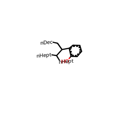 CCCCCCCCCCCC(c1ccccc1O)C(CCCCCCC)CCCCCCC